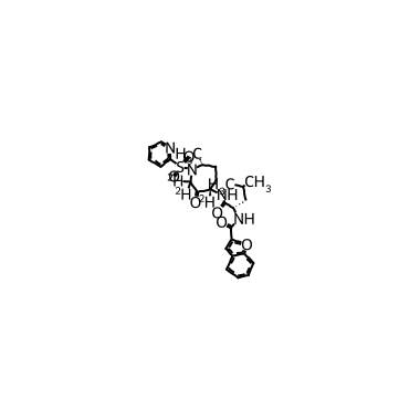 [2H]C1([2H])C(=O)[C@@]([2H])(NC(=O)[C@H](CC(C)C)NC(=O)c2cc3ccccc3o2)CC[C@@H](C)N1S(=O)(=O)c1ccccn1